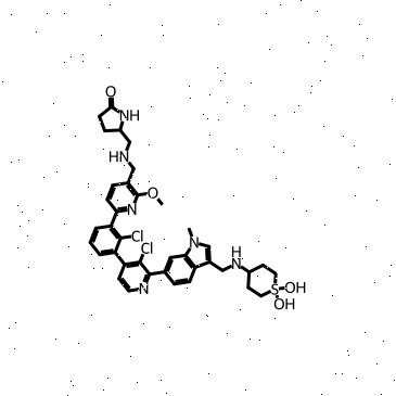 COc1nc(-c2cccc(-c3ccnc(-c4ccc5c(CNC6CCS(O)(O)CC6)cn(C)c5c4)c3Cl)c2Cl)ccc1CNCC1CCC(=O)N1